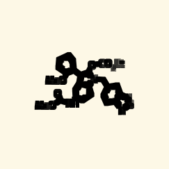 CCOC(=O)Oc1c(-c2ccccc2OC)c2cc(NC(=O)OC)ccc2n1Cc1ccc2nsnc2c1